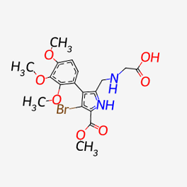 COC(=O)c1[nH]c(CNCC(=O)O)c(-c2ccc(OC)c(OC)c2OC)c1Br